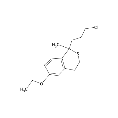 CCOc1ccc2c(c1)CCSC2(C)CCCCl